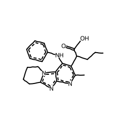 CCCC(C(=O)O)c1c(C)nc2nc3n(c2c1Nc1ccccc1)CCCC3